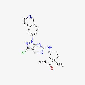 CNC(=O)C1(C)CC[C@@H](Nc2ncc3c(Br)nn(-c4ccc5cnccc5c4)c3n2)C1